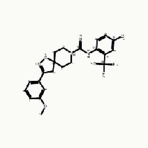 COc1cccc(C2=NOC3(CCN(C(=O)Nc4ccc(Cl)cc4C(F)(F)F)CC3)C2)c1